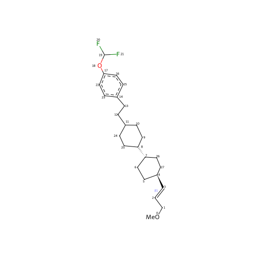 COC/C=C/[C@H]1CC[C@H](C2CCC(CCc3ccc(OC(F)F)cc3)CC2)CC1